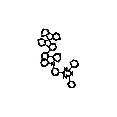 c1ccc(-c2nc(-c3ccccc3)nc(-c3cccc(N(c4ccccc4)c4ccccc4-c4ccccc4-c4cccc5c4-c4ccccc4C54c5ccccc5-c5ccccc54)c3)n2)cc1